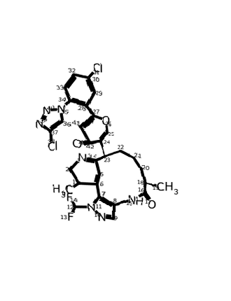 CC1CN=C2C=C1c1c(cnn1C(F)F)NC(=O)[C@H](C)CCC[C@@H]2c1coc(-c2cc(Cl)ccc2-n2cc(Cl)nn2)cc1=O